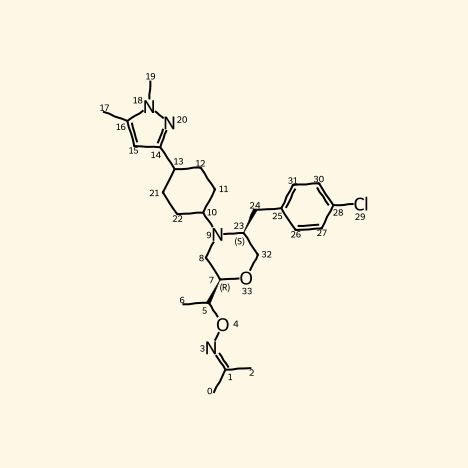 CC(C)=NOC(C)[C@H]1CN(C2CCC(c3cc(C)n(C)n3)CC2)[C@@H](Cc2ccc(Cl)cc2)CO1